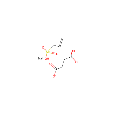 C=CCS(=O)(=O)O.O=C([O-])CCC(=O)O.[Na+]